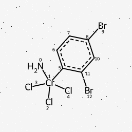 [NH2][Cr]([Cl])([Cl])([Cl])[c]1ccc(Br)cc1Br